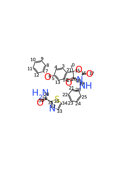 CC1(c2ccc(Oc3ccccc3)cc2)OC(=O)N(Nc2ccccc2)C1=O.NC(=O)c1nccs1